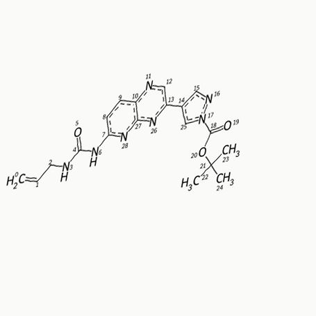 C=CCNC(=O)Nc1ccc2ncc(-c3cnn(C(=O)OC(C)(C)C)c3)nc2n1